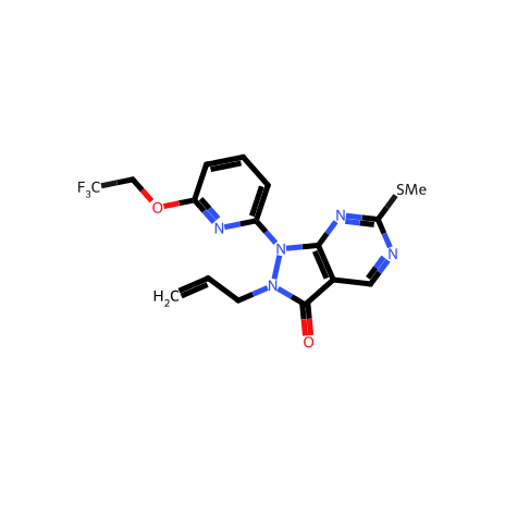 C=CCn1c(=O)c2cnc(SC)nc2n1-c1cccc(OCC(F)(F)F)n1